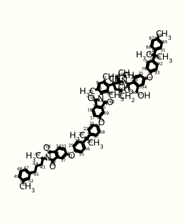 C=CCC(C)(c1c(C)cc(C)c(N2C(=O)c3ccc(Oc4ccc(C(C)(C)c5ccc(Oc6ccc7c(c6)C(=O)N(C(C)CCCc6cccc(C)c6)C7=O)cc5)cc4)cc3C2=O)c1C)C(C)(CC)N(C)C(=O)c1ccc(Oc2ccc(C(C)(C)c3ccc(C)cc3)cc2)cc1CO